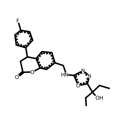 CCC(O)(CC)c1nnc(NCc2ccc3c(c2)OC(=O)CC3c2ccc(F)cc2)o1